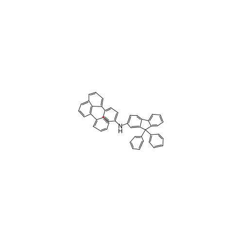 c1ccc(-c2cccc3cccc(-c4ccc(Nc5ccc6c(c5)C(c5ccccc5)(c5ccccc5)c5ccccc5-6)cc4)c23)cc1